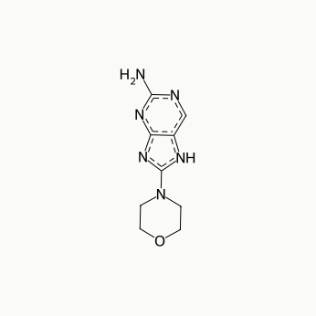 Nc1ncc2[nH]c(N3CCOCC3)nc2n1